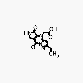 CCc1cc2n(CC(=O)O)c3c(c(=O)n2n1)CNC3=O